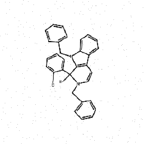 Clc1ccccc1C1(Br)c2c(c3ccccc3n2Cc2ccccc2)C=CN1Cc1ccccc1